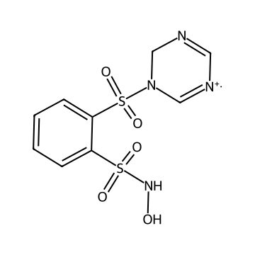 O=S(=O)(NO)c1ccccc1S(=O)(=O)N1C=[N+]C=NC1